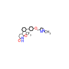 Cn1ccc(COc2ccc(-c3cccc(C4CCC(=O)NC4=O)c3C(F)(F)F)cc2)n1